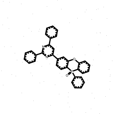 O=P1(c2ccccc2)c2ccccc2Oc2cc(-c3cc(-c4ccccc4)nc(-c4ccccc4)n3)ccc21